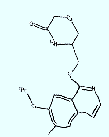 Cc1cc2ccnc(OCC3COCC(=O)N3)c2cc1OC(C)C